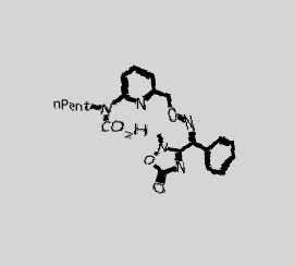 CCCCCN(C(=O)O)c1cccc(CO/N=C(/c2ccccc2)c2nc(=O)on2C)n1